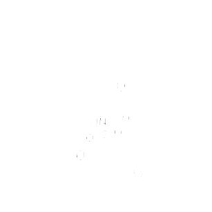 COc1ccc(OC)c(S(=O)(=O)NC(=O)COc2ccc3ccc(C)cc3c2)c1